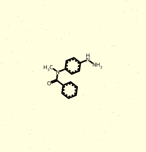 CN(C(=O)c1ccccc1)c1ccc(NN)cc1